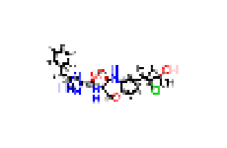 CC(C)(O)/C(Cl)=C/c1ccc2c(c1)NC(=O)[C@H](NC(=O)c1n[nH]c(Cc3ccccc3)n1)CO2